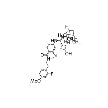 COc1ccc(CCn2cnc3cc(N/C(=N/[C@H]4C[C@@H]5C[C@H]([C@@H]4C)C5(C)C)N4CC(O)C4)ccc3c2=O)c(F)c1